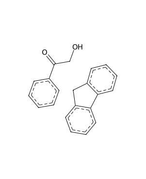 O=C(CO)c1ccccc1.c1ccc2c(c1)Cc1ccccc1-2